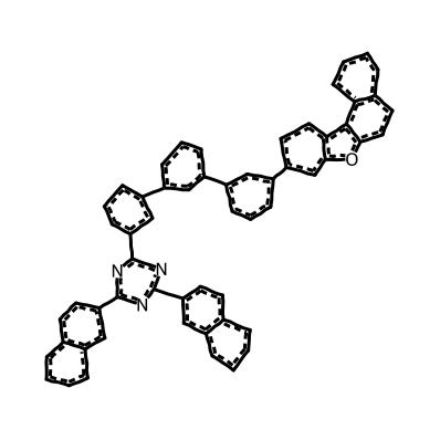 c1cc(-c2cccc(-c3ccc4c(c3)oc3ccc5ccccc5c34)c2)cc(-c2cccc(-c3nc(-c4ccc5ccccc5c4)nc(-c4ccc5ccccc5c4)n3)c2)c1